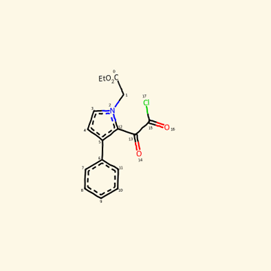 CCOC(=O)Cn1ccc(-c2ccccc2)c1C(=O)C(=O)Cl